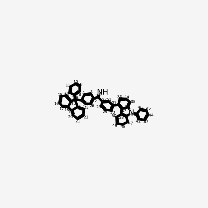 N=C(c1ccc(C2(c3ccccc3)c3ccccc3-c3ccccc32)cc1)c1cccc(-c2cccc3c2c2c(n3-c3ccccc3)CCC=C2)c1